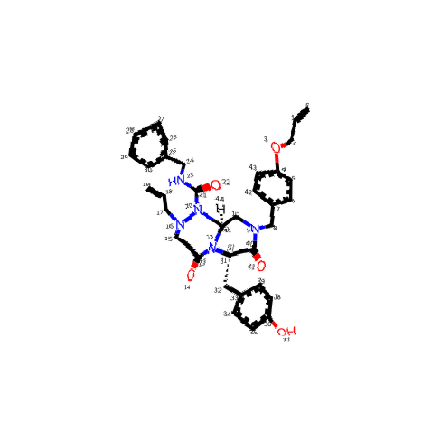 C=CCOc1ccc(CN2C[C@H]3N(C(=O)CN(CC=C)N3C(=O)NCc3ccccc3)[C@@H](Cc3ccc(O)cc3)C2=O)cc1